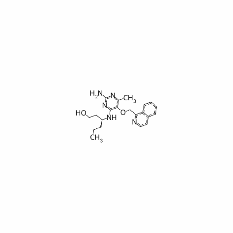 CCC[C@@H](CCO)Nc1nc(N)nc(C)c1OCc1nccc2ccccc12